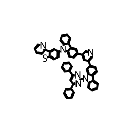 c1ccc(-c2cc(-c3ccccc3)nc(-n3c4ccccc4c4ccc(-c5cncc(-c6ccc7c(c6)c6ccccc6n7-c6ccc7sc8cccnc8c7c6)c5)cc43)n2)cc1